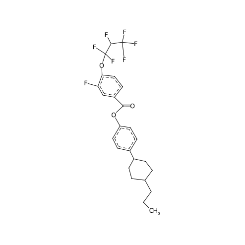 CCCC1CCC(c2ccc(OC(=O)c3ccc(OC(F)(F)C(F)C(F)(F)F)c(F)c3)cc2)CC1